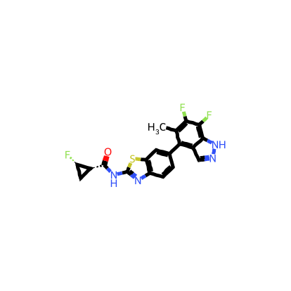 Cc1c(F)c(F)c2[nH]ncc2c1-c1ccc2nc(NC(=O)[C@@H]3C[C@@H]3F)sc2c1